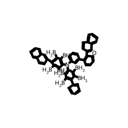 Bc1c(B)c(N(c2cccc(-c3cccc4oc5c6ccccc6ccc5c34)c2)c2c(B)c(B)c(-c3ccc4ccccc4c3)c(B)c2B)c(B)c(B)c1-c1ccccc1